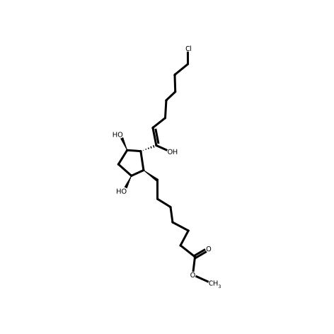 COC(=O)CCCCCC[C@@H]1[C@@H](C(O)=CCCCCCCl)[C@H](O)C[C@@H]1O